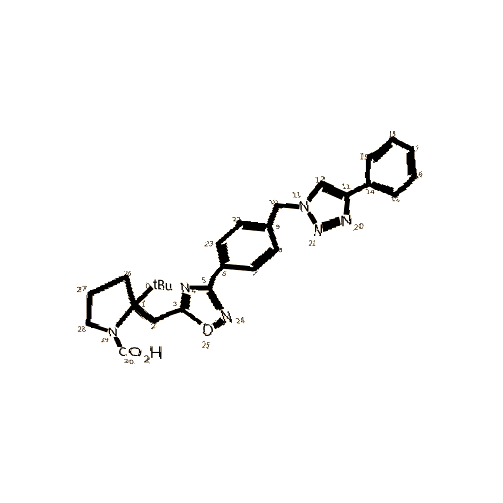 CC(C)(C)C1(Cc2nc(-c3ccc(Cn4cc(-c5ccccc5)nn4)cc3)no2)CCCN1C(=O)O